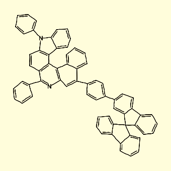 c1ccc(-c2nc3cc(-c4ccc(-c5ccc6c(c5)C5(c7ccccc7-c7ccccc75)c5ccccc5-6)cc4)c4ccccc4c3c3c2ccc2c3c3ccccc3n2-c2ccccc2)cc1